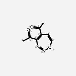 CC(=O)C1=C(C(C)=O)N=NOC=C1